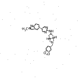 Cn1cc2cc(-c3cnc(N[C@@H]4C[C@@H]5CN(Cc6ccc7c(c6)OCO7)C[C@@H]5C4)nc3)ccc2n1